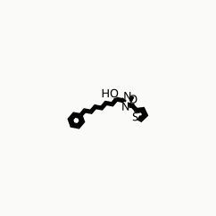 OC(CCCCCCc1ccccc1)c1noc(-c2cccs2)n1